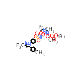 Cc1ccc(-c2cc(C(F)(F)F)nn2-c2ccc(S(=O)(=O)NC(=O)OC[C@H](C(C)C)N(C)[N+]([O-])=NOC(C)OC(=O)OC(C)(C)C)cc2)cc1